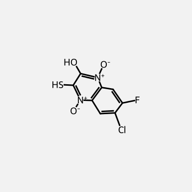 [O-][n+]1c(O)c(S)[n+]([O-])c2cc(Cl)c(F)cc21